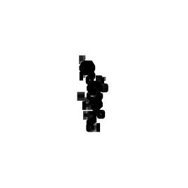 Cc1cc(OCc2ccc(F)cc2F)c(Br)c(=O)n1Cc1cc(C(=O)NCCO)[nH]n1